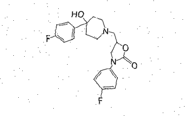 O=C1OC(CN2CCC(O)(c3ccc(F)cc3)CC2)CN1c1ccc(F)cc1